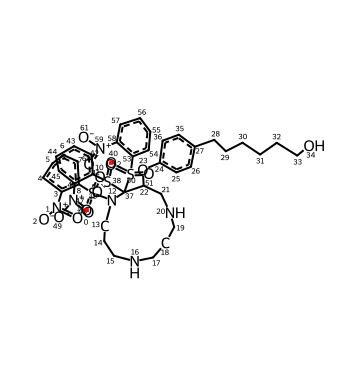 O=[N+]([O-])c1ccccc1S(=O)(=O)N1CCCNCCCNCC(Oc2ccc(CCCCCCO)cc2)C1(S(=O)(=O)c1ccccc1[N+](=O)[O-])S(=O)(=O)c1ccccc1[N+](=O)[O-]